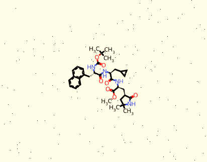 COC(=O)[C@H](C[C@@H]1CC(C)(C)NC1=O)NC(=O)[C@H](CC1CC1)NC(=O)[C@H](Cc1cccc2ccccc12)NC(=O)OC(C)(C)C